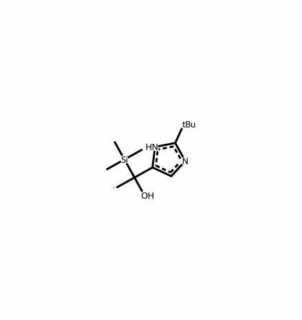 [CH2]C(O)(c1cnc(C(C)(C)C)[nH]1)[Si](C)(C)C